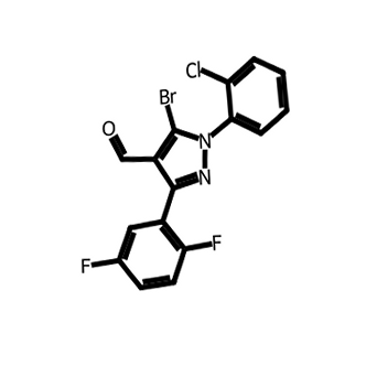 O=Cc1c(-c2cc(F)ccc2F)nn(-c2ccccc2Cl)c1Br